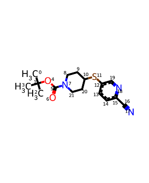 CC(C)(C)OC(=O)N1CCC(Sc2ccc(C#N)nc2)CC1